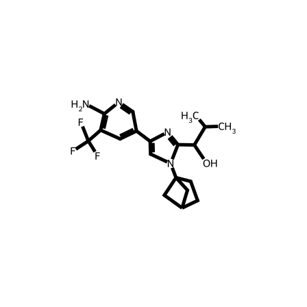 CC(C)C(O)c1nc(-c2cnc(N)c(C(F)(F)F)c2)cn1C12CCC(C1)C2